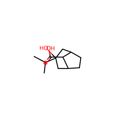 CC(C)C1(O)CC2CCC(C1)C2C(=O)O